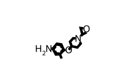 Cc1cc(N)ccc1OC1CCN(C2COC2)CC1